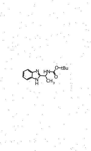 C[C@H](NC(=O)OC(C)(C)C)c1nc2ccccc2[nH]1